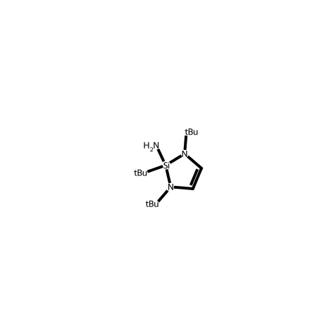 CC(C)(C)N1C=CN(C(C)(C)C)[Si]1(N)C(C)(C)C